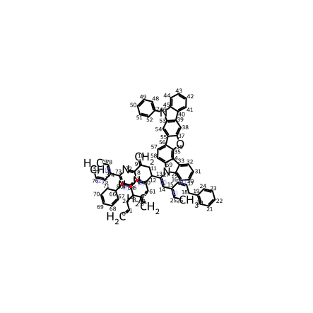 C=CCC(C=C)c1nc(C(=C)CC(/C(=C/C(/C=C\Cc2ccccc2)=C/C)n2c3ccccc3c3c4oc5cc6c7ccccc7n(-c7ccccc7)c6cc5c4ccc32)/C(C=C)=C/C=C/C2C=CC=CC2)nc(C(/C=C\C)=C/C)n1